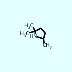 CC1CCC(C)(C)N1